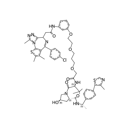 Cc1ncsc1-c1ccc([C@H](C)NC(=O)[C@@H]2C[C@@H](O)CN2C(=O)[C@@H](NC(=O)COCCCOCCOc2cccc(NC(=O)CC3N=C(c4ccc(Cl)cc4)c4c(sc(C)c4C)-n4c(C)nnc43)c2)C(C)(C)C)cc1